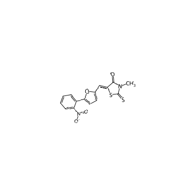 CN1C(=O)C(=Cc2ccc(-c3ccccc3[N+](=O)[O-])o2)SC1=S